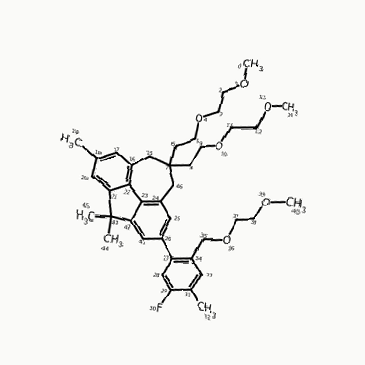 COCCOCCC1(CCOCCOC)Cc2cc(C)cc3c2-c2c(cc(-c4cc(F)c(C)cc4COCCOC)cc2C3(C)C)C1